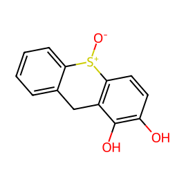 [O-][S+]1c2ccccc2Cc2c1ccc(O)c2O